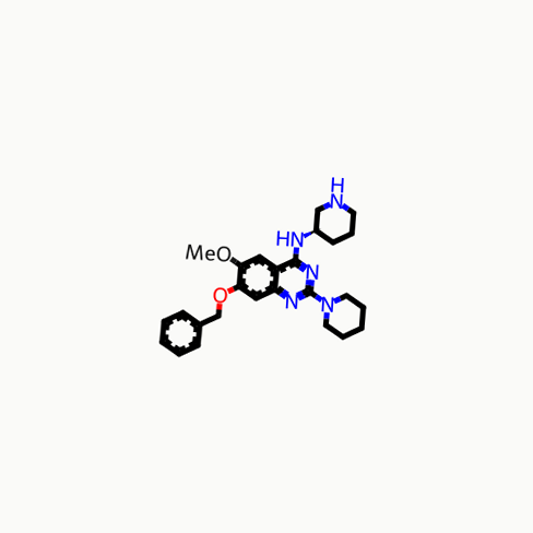 COc1cc2c(N[C@@H]3CCCNC3)nc(N3CCCCC3)nc2cc1OCc1ccccc1